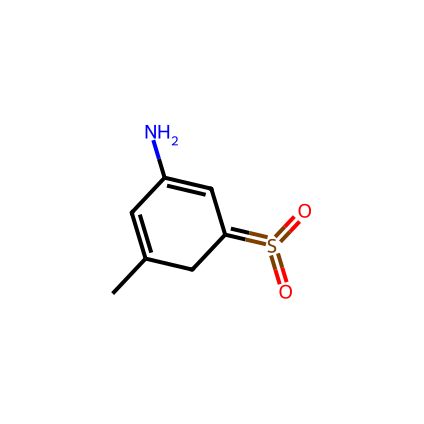 CC1=CC(N)=CC(=S(=O)=O)C1